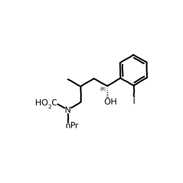 CCCN(CC(C)C[C@@H](O)c1ccccc1I)C(=O)O